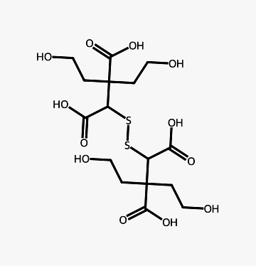 O=C(O)C(SSC(C(=O)O)C(CCO)(CCO)C(=O)O)C(CCO)(CCO)C(=O)O